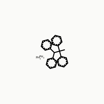 CC(c1ccccc1)(c1ccccc1)C(c1ccccc1)c1ccccc1.P.P